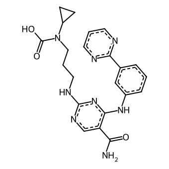 NC(=O)c1cnc(NCCCN(C(=O)O)C2CC2)nc1Nc1cccc(-c2ncccn2)c1